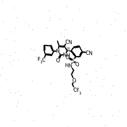 CC1=C(C#N)[C@@H](c2ccc(C#N)cc2S(=O)(=O)NCCOCC(F)(F)F)NC(=O)N1c1cccc(C(F)(F)F)c1